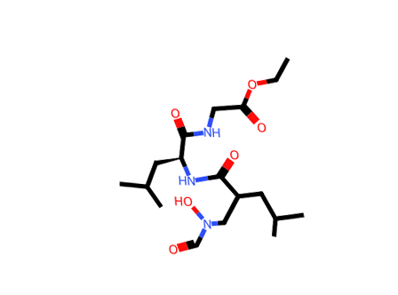 CCOC(=O)CNC(=O)[C@H](CC(C)C)NC(=O)C(CC(C)C)CN(O)C=O